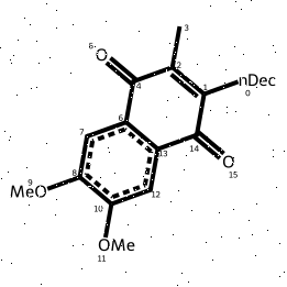 CCCCCCCCCCC1=C(C)C(=O)c2cc(OC)c(OC)cc2C1=O